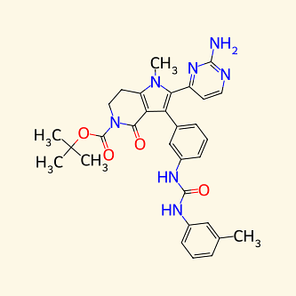 Cc1cccc(NC(=O)Nc2cccc(-c3c4c(n(C)c3-c3ccnc(N)n3)CCN(C(=O)OC(C)(C)C)C4=O)c2)c1